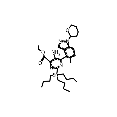 CCC[CH2][Sn]([CH2]CCC)([CH2]CCC)[c]1nc(C(=O)OCC)c(N)c(-c2c(C)ccc3c2cnn3C2CCCCO2)n1